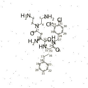 NCCN(CCN)C(=O)C[C@H](N)C(=O)N[C@@H](CCc1ccccc1)C(=O)NCc1ccc(Cl)c(Cl)c1